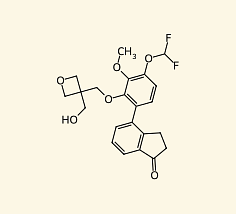 COc1c(OC(F)F)ccc(-c2cccc3c2CCC3=O)c1OCC1(CO)COC1